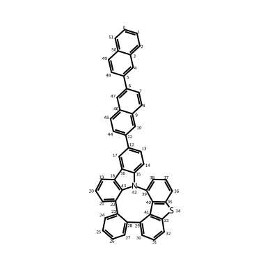 c1ccc2cc(-c3ccc4cc(-c5ccc6c(c5)c5cccc7c8ccccc8c8cccc9sc%10cccc(c%10c98)n6c75)ccc4c3)ccc2c1